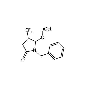 CCCCCCCCOC1C(C(F)(F)F)CC(=O)N1Cc1ccccc1